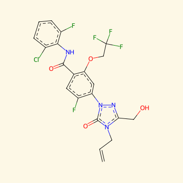 C=CCn1c(CO)nn(-c2cc(OCC(F)(F)F)c(C(=O)Nc3c(F)cccc3Cl)cc2F)c1=O